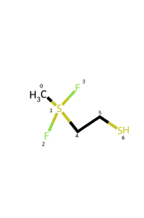 CS(F)(F)CCS